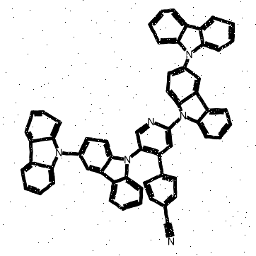 N#Cc1ccc(-c2cc(-n3c4ccccc4c4cc(-n5c6ccccc6c6ccccc65)ccc43)ncc2-n2c3ccccc3c3cc(-n4c5ccccc5c5ccccc54)ccc32)cc1